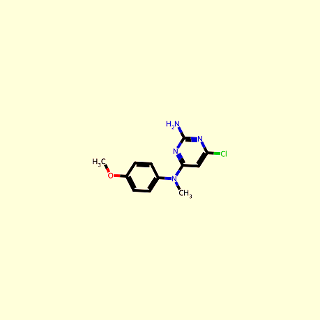 COc1ccc(N(C)c2cc(Cl)nc(N)n2)cc1